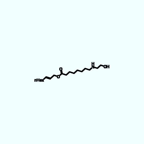 CCCCCCC=CCOC(=O)CCCCCCCNCCO